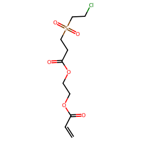 C=CC(=O)OCCOC(=O)CCS(=O)(=O)CCCl